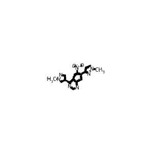 Cn1cc(-c2ncnc3cc(-c4ccn(C)n4)c([N+](=O)[O-])cc23)cn1